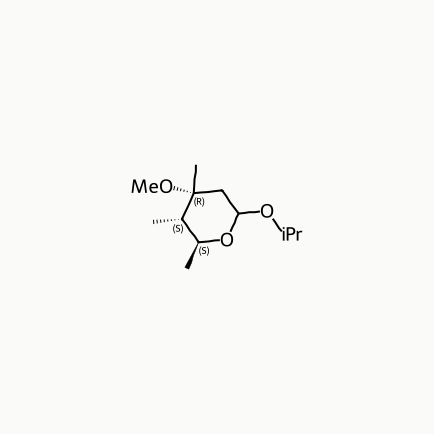 CO[C@]1(C)CC(OC(C)C)O[C@@H](C)[C@@H]1C